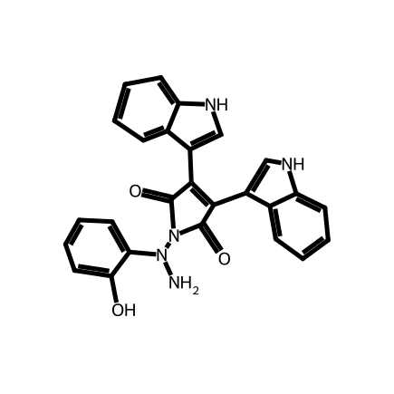 NN(c1ccccc1O)N1C(=O)C(c2c[nH]c3ccccc23)=C(c2c[nH]c3ccccc23)C1=O